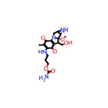 COC12C(CO)C3=C(C(=O)C(C)=C(NCCCOC(N)=O)C3=O)N1CC1NC12